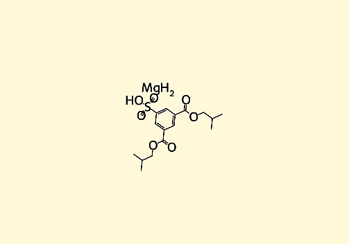 CC(C)COC(=O)c1cc(C(=O)OCC(C)C)cc(S(=O)(=O)O)c1.[MgH2]